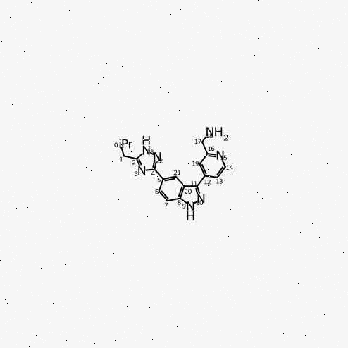 CC(C)Cc1nc(-c2ccc3[nH]nc(-c4ccnc(CN)c4)c3c2)n[nH]1